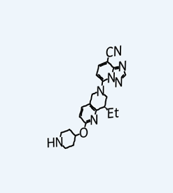 CC[C@@H]1CN(c2ccc(C#N)c3ncnn23)Cc2ccc(OC3CCNCC3)nc21